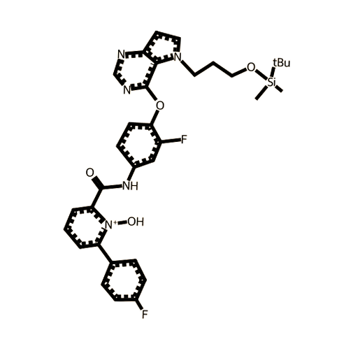 CC(C)(C)[Si](C)(C)OCCCn1ccc2ncnc(Oc3ccc(NC(=O)c4cccc(-c5ccc(F)cc5)[n+]4O)cc3F)c21